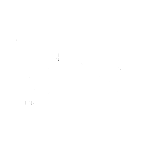 Cc1cc(C)cc(-c2[nH]c3sc(C(C)(C)C(=O)N4CCCC4)cc3c2CCN)c1